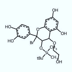 CC(C)(C)[Si](C)(C)OC1C(OCCO)c2c(O)cc(O)cc2OC1(Br)c1ccc(O)c(O)c1